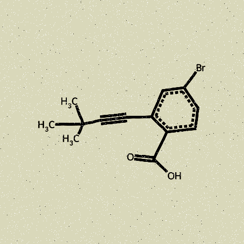 CC(C)(C)C#Cc1cc(Br)ccc1C(=O)O